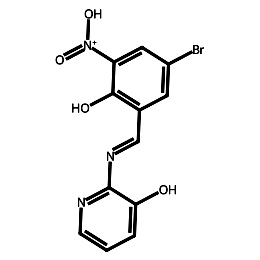 O=[N+](O)c1cc(Br)cc(/C=N/c2ncccc2O)c1O